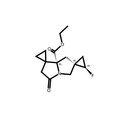 CCOC(=O)[C@]12C[C@@]3(C[C@H]3F)CN1C(=O)CC21CC1